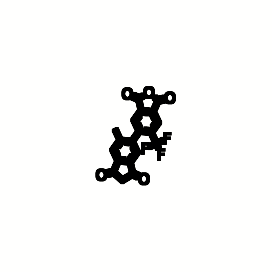 Cc1cc2c(cc1-c1cc3c(cc1C(F)(F)F)C(=O)OC3=O)C(=O)CC2=O